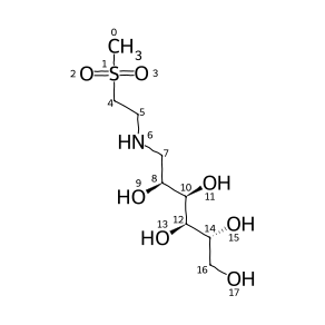 CS(=O)(=O)CCNC[C@H](O)[C@@H](O)[C@H](O)[C@H](O)CO